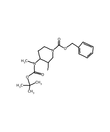 CN(C(=O)OC(C)(C)C)C1CCN(C(=O)OCc2ccccc2)CC1F